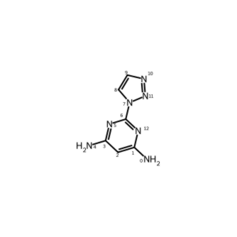 Nc1cc(N)nc(-n2ccnn2)n1